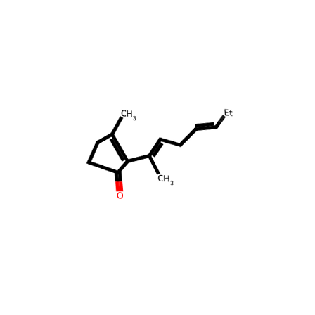 CCC=CCC=C(C)C1=C(C)CCC1=O